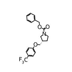 O=C(OCc1ccccc1)N1CC[C@H](COc2ccc(C(F)(F)F)cc2)C1